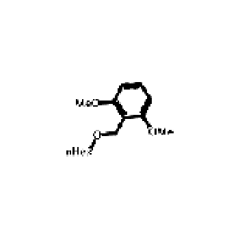 [CH2]CCCCCOCc1c(OC)cccc1OC